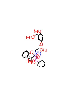 CCC(NCC(O)COc1ccc(O)c(CO)c1)(Oc1ccccc1)P(=O)(O)C1CCCCC1